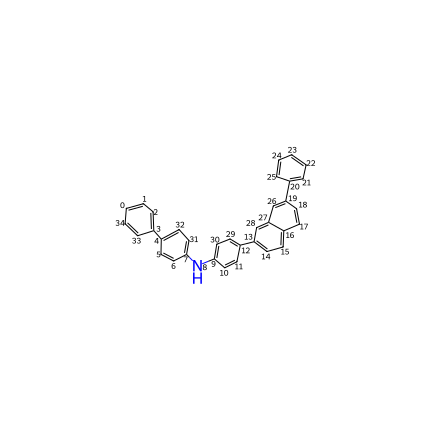 c1ccc(-c2ccc(Nc3ccc(-c4ccc5ccc(-c6ccccc6)cc5c4)cc3)cc2)cc1